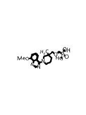 COc1cccc2c(N3CCCC(C)(COCP(=O)(O)O)C3)ncnc12